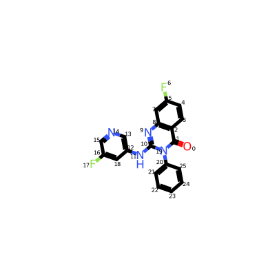 O=c1c2ccc(F)cc2nc(Nc2cncc(F)c2)n1-c1ccccc1